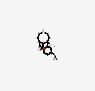 COc1ccc2c(c1)C1(C)CCOCCC(C2)/C1=N\O